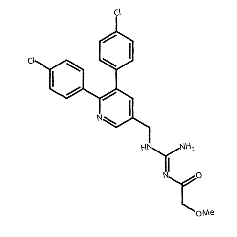 COCC(=O)/N=C(\N)NCc1cnc(-c2ccc(Cl)cc2)c(-c2ccc(Cl)cc2)c1